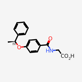 C[C@H](Oc1ccc(C(=O)NCC(=O)O)cc1)c1ccccc1